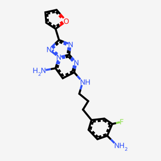 Nc1ccc(CCCNc2cc(N)n3nc(-c4ccco4)nc3n2)cc1F